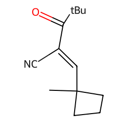 CC1(/C=C(\C#N)C(=O)C(C)(C)C)CCC1